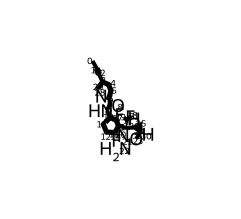 CC#Cc1ccc(C(=O)Nc2ccc(F)c([C@@]3(C(F)F)N=C(N)O[C@@H]4C[C@@H]43)c2)nc1